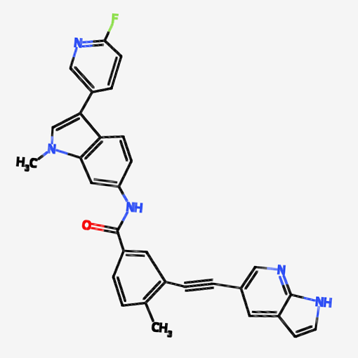 Cc1ccc(C(=O)Nc2ccc3c(-c4ccc(F)nc4)cn(C)c3c2)cc1C#Cc1cnc2[nH]ccc2c1